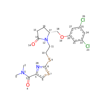 CN(C)C(=O)c1csc(SCCN2C(=O)CC[C@@H]2COc2cc(Cl)cc(Cl)c2)n1